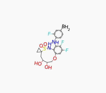 Bc1ccc(Nc2c(F)c(F)cc3c2NS(=O)(=O)C2(CC2)CC(O)C(O)CO3)c(F)c1